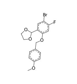 COc1ccc(COc2cc(F)c(Br)cc2C2OCCO2)cc1